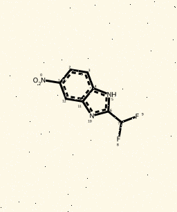 O=[N+]([O-])c1ccc2[nH]c(C(F)F)nc2c1